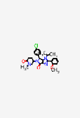 COc1ccccc1-c1nc2c(n1C(C)C)C(c1ccc(Cl)cc1)N(C1CCC(=O)N(C)C1)C2=O